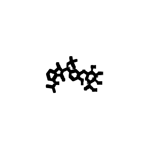 COc1ccc([C@@H](CS(C)(=O)=O)N2C(=O)c3cccc(NC(C)=O)c3C2=O)cc1OC1O[C@H](C(=O)O)[C@@H](O)[C@H](O)[C@H]1O